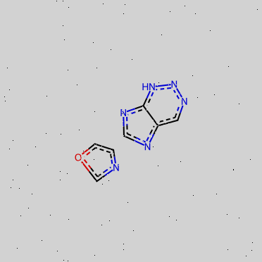 c1cocn1.c1nc2cnn[nH]c-2n1